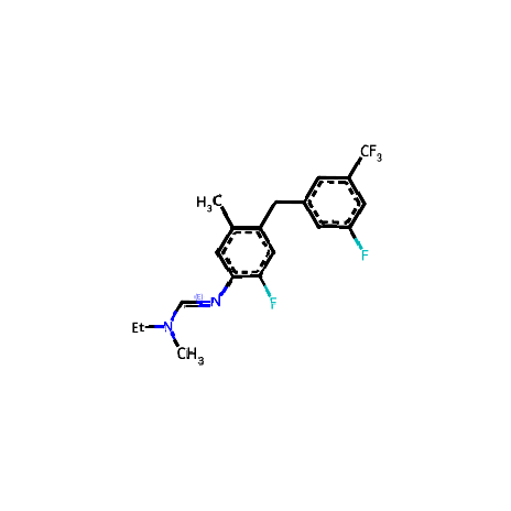 CCN(C)/C=N/c1cc(C)c(Cc2cc(F)cc(C(F)(F)F)c2)cc1F